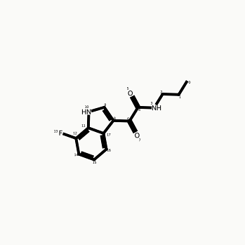 CCCNC(=O)C(=O)c1c[nH]c2c(F)cccc12